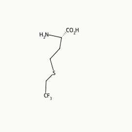 N[C@@H](CCSCC(F)(F)F)C(=O)O